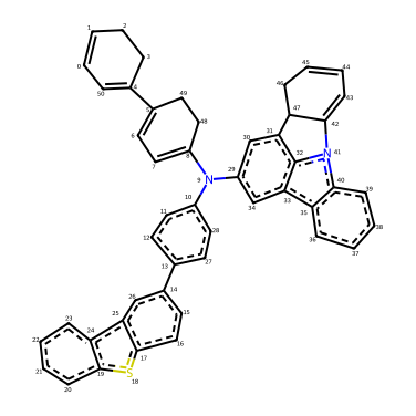 C1=CCCC(C2=CC=C(N(c3ccc(-c4ccc5sc6ccccc6c5c4)cc3)c3cc4c5c(c3)c3ccccc3n5C3=CC=CCC34)CC2)=C1